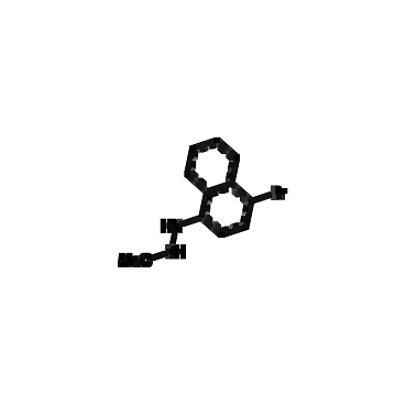 COBNc1ccc(Br)c2ccccc12